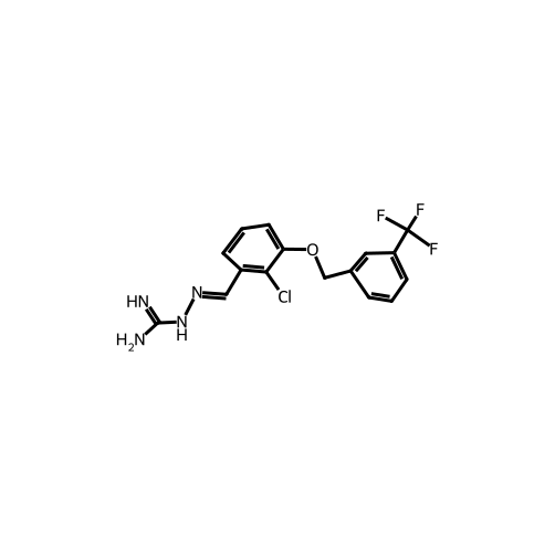 N=C(N)N/N=C/c1cccc(OCc2cccc(C(F)(F)F)c2)c1Cl